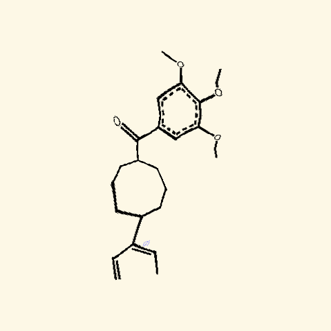 C=C/C(=C\C)C1CCCC(C(=O)c2cc(OC)c(OC)c(OC)c2)CCC1